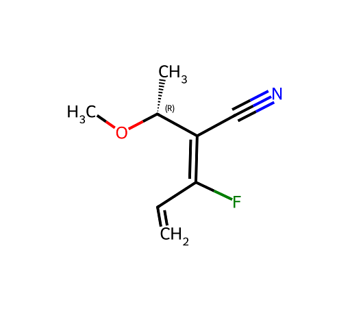 C=CC(F)=C(C#N)[C@@H](C)OC